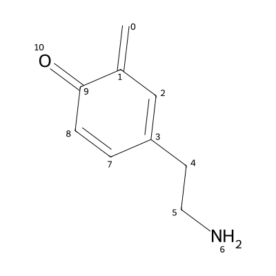 C=C1C=C(CCN)C=CC1=O